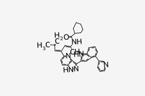 C=C(C)/C=C(\C=C(/C)NC(=O)C1CCCCC1)c1ccc2[nH]nc(-c3cc4c(-c5cccnc5)cccc4[nH]3)c2n1